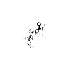 Cc1cc(NS(=O)(=O)c2ccccc2Cl)ccc1Oc1ncccc1-c1ccnc(NC2CCC(N)CC2)n1